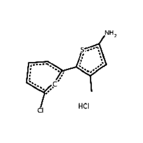 Cc1cc(N)sc1-c1cccc(Cl)c1.Cl